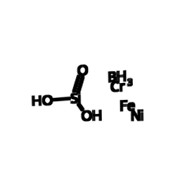 B.O=[Si](O)O.[Cr].[Fe].[Ni]